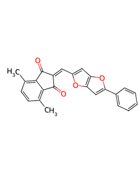 Cc1ccc(C)c2c1C(=O)C(=Cc1cc3oc(-c4ccccc4)cc3o1)C2=O